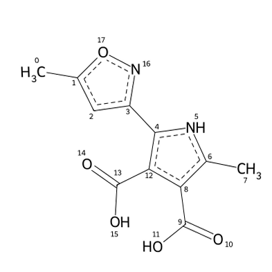 Cc1cc(-c2[nH]c(C)c(C(=O)O)c2C(=O)O)no1